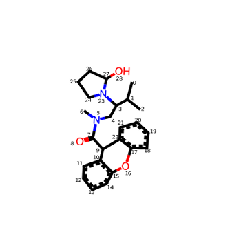 CC(C)C(CN(C)C(=O)C1c2ccccc2Oc2ccccc21)N1CCCC1O